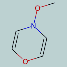 CON1C=COC=C1